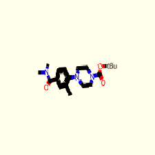 Cc1cc(C(=O)N(C)C)ccc1N1CCN(C(=O)OC(C)(C)C)CC1